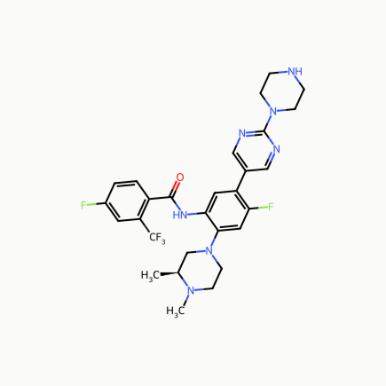 C[C@H]1CN(c2cc(F)c(-c3cnc(N4CCNCC4)nc3)cc2NC(=O)c2ccc(F)cc2C(F)(F)F)CCN1C